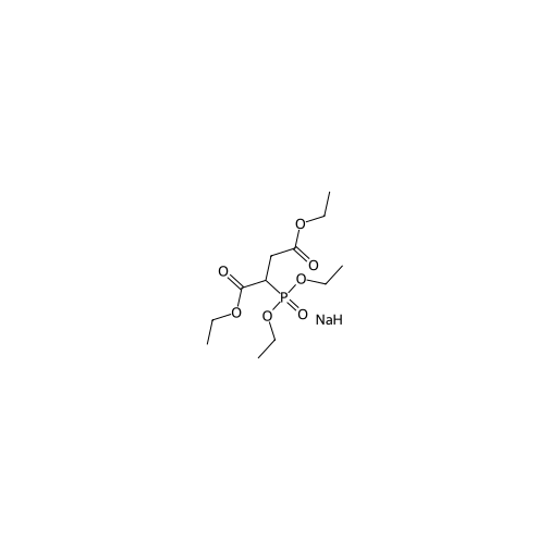 CCOC(=O)CC(C(=O)OCC)P(=O)(OCC)OCC.[NaH]